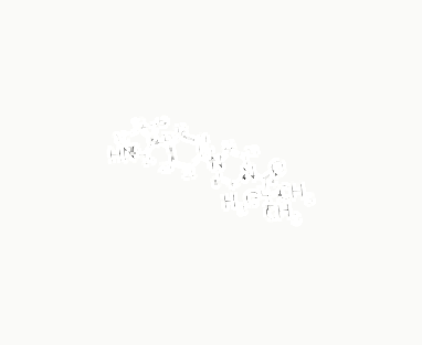 CC(C)(C)C(=O)N1CCN(C2C=CC(C34CNCC3C4)=CC2)CC1